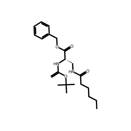 C=C(N[C@@H](CNC(=O)CCCCC)C(=O)OCc1ccccc1)OC(C)(C)C